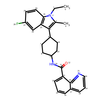 CCn1c(C)c(C2CCC(NC(=O)c3cccc4cccnc34)CC2)c2cc(F)ccc21